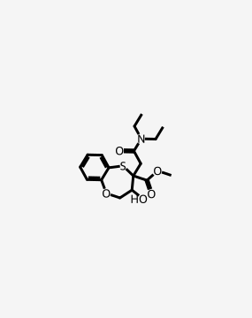 CCN(CC)C(=O)CC1(C(=O)OC)Sc2ccccc2OCC1O